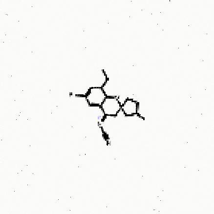 CCC1C=C(Br)C=C2/C(=N/C#N)CC3(CCC(C)C3)OC21